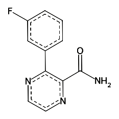 NC(=O)c1nccnc1-c1cccc(F)c1